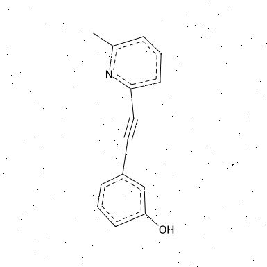 Cc1cccc(C#Cc2cccc(O)c2)n1